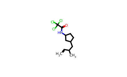 C=CC(C)CC1CCC(NC(=O)C(Cl)(Cl)Cl)C1